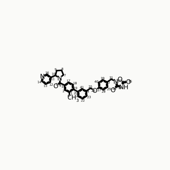 Cc1cc(C(=O)N2CCCC2c2cccnc2)ccc1-c1cccc(COc2ccc(Cn3oc(=O)[nH]c3=O)cc2)c1